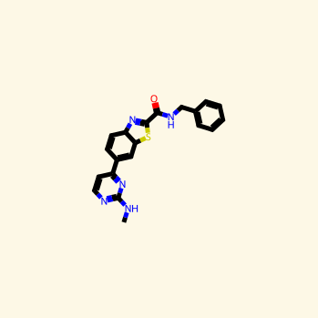 CNc1nccc(C2=CC3SC(C(=O)NCc4ccccc4)=NC3C=C2)n1